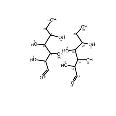 O=CC(O)C(O)C(O)C(O)CO.O=CC(O)C(O)C(O)C(O)CO